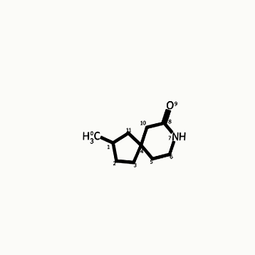 CC1CCC2(CCNC(=O)C2)C1